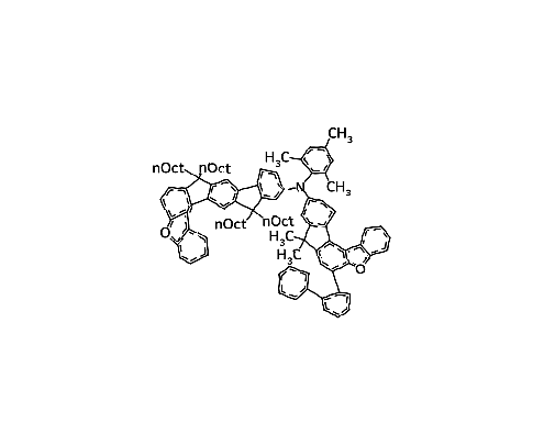 CCCCCCCCC1(CCCCCCCC)c2cc(N(c3ccc4c(c3)C(C)(C)c3cc(-c5ccccc5-c5ccccc5)c5oc6ccccc6c5c3-4)c3c(C)cc(C)cc3C)ccc2-c2cc3c(cc21)-c1c(ccc2oc4ccccc4c12)C3(CCCCCCCC)CCCCCCCC